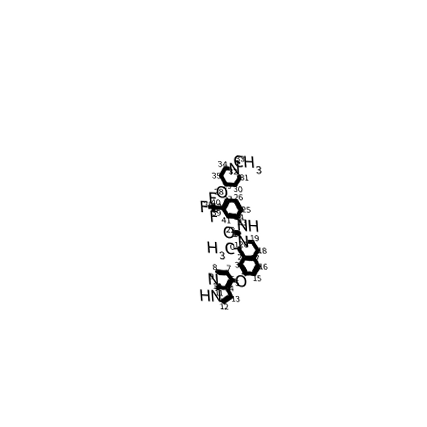 C[C@H]1c2cc(Oc3ccnc4[nH]ccc34)ccc2CCN1C(=O)Nc1ccc(OC2CCN(C)CC2)c(C(F)(F)F)c1